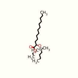 CCCCCCCCCCCC(O[Si](C)(C)CCCC)C(=O)OCC